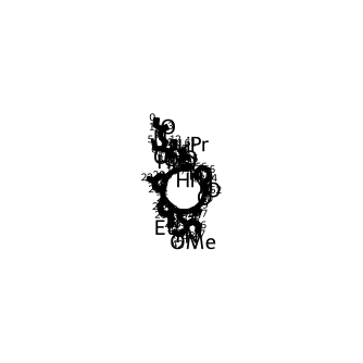 C=CC(=O)N1CC[C@](O)(C(=O)N(C)[C@H](C(=O)N[C@H]2Cc3cc(C)cc(c3)-c3ccc4c(c3)c(c(-c3cccnc3[C@H](C)OC)n4CC)CC(C)(C)COC(=O)[C@@H]3CCCN(N3)C2=O)C(C)C)C1